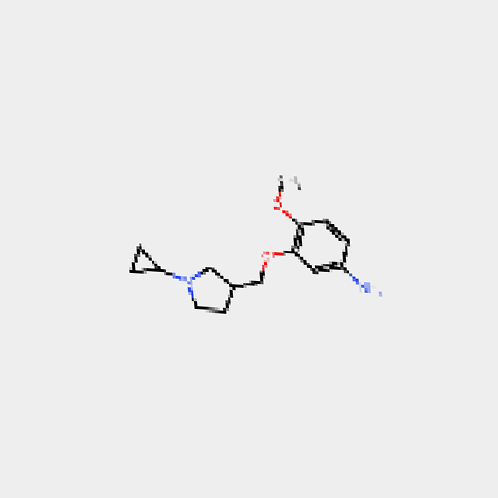 COc1ccc(N)cc1OCC1CCN(C2CC2)C1